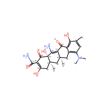 Cc1cc(N(C)C)c2c(c1O)C(=O)C1=C(N)[C@]3(O)C(=O)C(C(N)=O)=C(O)C[C@@H]3C[C@@H]1C2